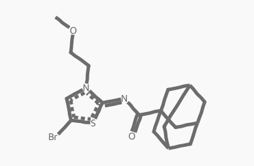 COCCn1cc(Br)sc1=NC(=O)C12CC3CC(CC(C3)C1)C2